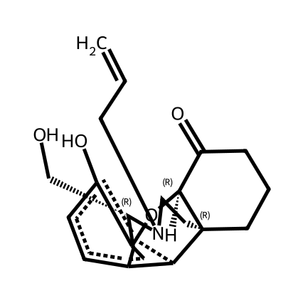 C=CCN1CC[C@@]23CCCC(=O)[C@@H]2Oc2c(O)ccc(c23)C[C@@H]1CO